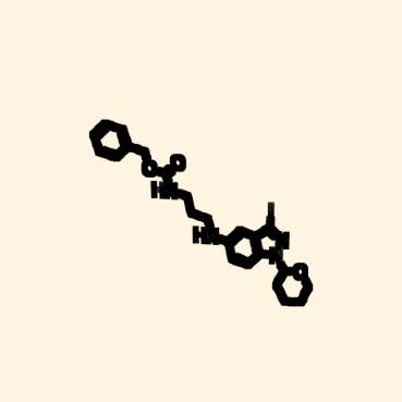 O=C(NCCCNc1ccc2c(c1)c(I)nn2C1CCCCO1)OCc1ccccc1